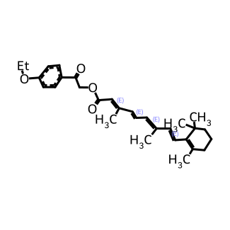 CCOc1ccc(C(=O)COC(=O)/C=C(C)/C=C/C=C(C)/C=C/C2=C(C)CCCC2(C)C)cc1